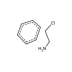 NCCCl.c1ccccc1